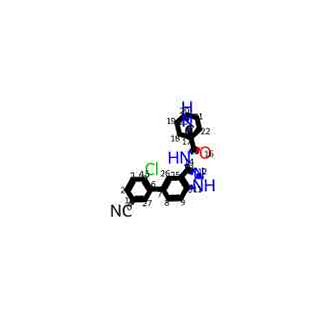 N#Cc1ccc(Cl)c(-c2ccc3[nH]nc(NC(=O)C45CCC(CC4)NC5)c3c2)c1